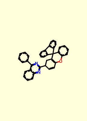 C1=CC(c2nc(-c3ccccc3)c3ccccc3n2)CC2=C1Oc1ccccc1C21c2ccccc2-c2ccccc21